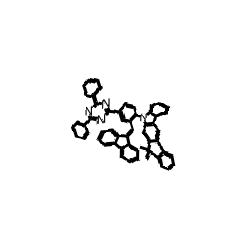 CC1(C)c2ccccc2-c2cc3c4ccccc4n(-c4ccc(-c5nc(-c6ccccc6)nc(-c6ccccc6)n5)cc4C=C4c5ccccc5-c5ccccc54)c3cc21